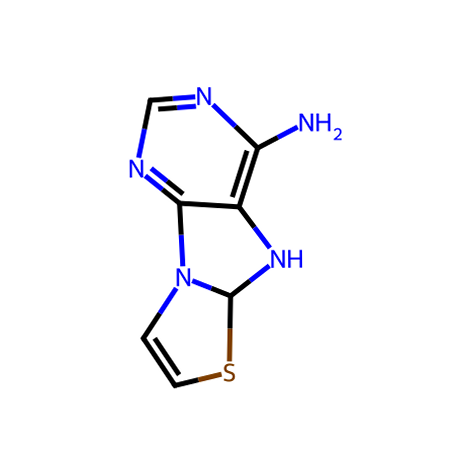 Nc1ncnc2c1NC1SC=CN21